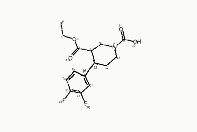 CCOC(=O)C1CN(C(=O)O)CCC1c1ccc(F)c(F)c1